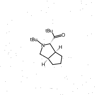 CC(C)(C)C(=O)[C@@H]1[C@H]2CCC[C@H]2CN1C(C)(C)C